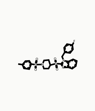 Cc1ccc(S(=O)(=O)N2CCC(S(=O)(=O)c3nc4ccccc4n3Cc3ccc(F)cc3)CC2)cc1